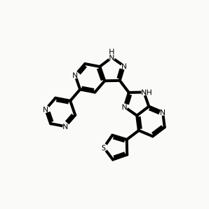 c1ncc(-c2cc3c(-c4nc5c(-c6ccsc6)ccnc5[nH]4)n[nH]c3cn2)cn1